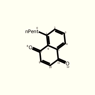 CCCCCc1cccc2c1C(=O)C=CC2=O